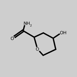 NC(=O)C1CC(O)CCO1